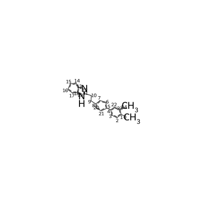 Cc1ccc(-c2ccc(CCc3nc4ccccc4[nH]3)cc2)cc1C